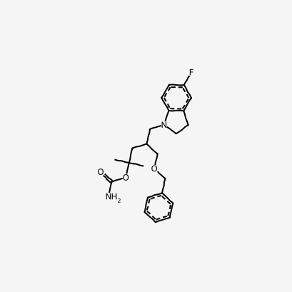 CC(C)(CC(COCc1ccccc1)CN1CCc2cc(F)ccc21)OC(N)=O